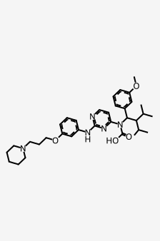 COc1cccc(C(C(C(C)C)C(C)C)N(C(=O)O)c2ccnc(Nc3cccc(OCCCN4CCCCC4)c3)n2)c1